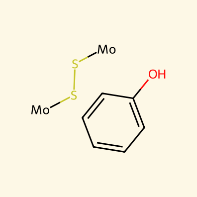 Oc1ccccc1.[Mo][S][S][Mo]